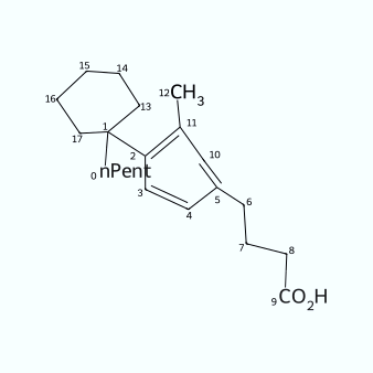 CCCCCC1(c2ccc(CCCC(=O)O)cc2C)CCCCC1